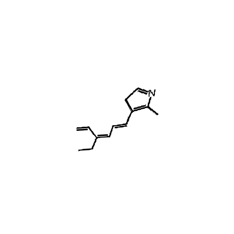 C=C/C(=C\C=C\C1=C(C)N=CC1)CC